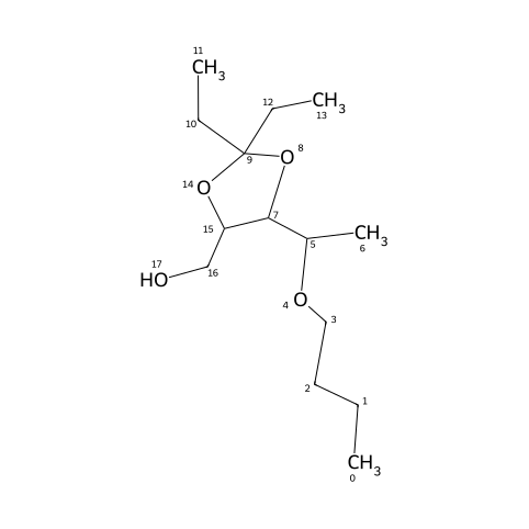 CCCCOC(C)C1OC(CC)(CC)OC1CO